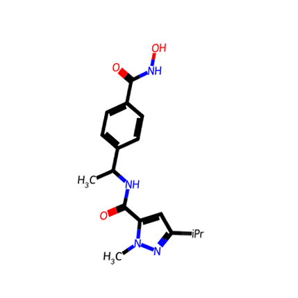 CC(C)c1cc(C(=O)NC(C)c2ccc(C(=O)NO)cc2)n(C)n1